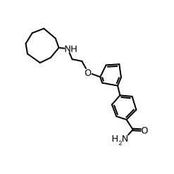 NC(=O)c1ccc(-c2cccc(OCCNC3CCCCCCC3)c2)cc1